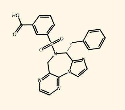 O=C(O)c1cccc(S(=O)(=O)N2Cc3nccnc3-n3ccnc3[C@H]2Cc2ccccc2)c1